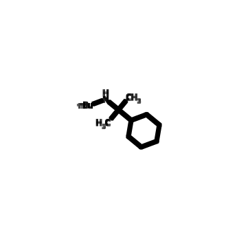 CCC[CH]NC(C)(C)C1CCCCC1